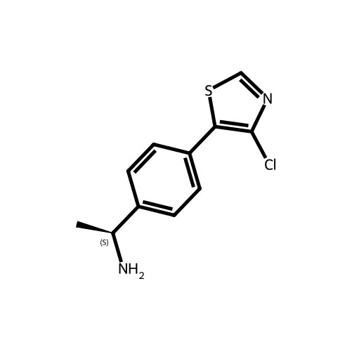 C[C@H](N)c1ccc(-c2scnc2Cl)cc1